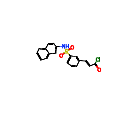 O=C(Cl)C=Cc1cccc(S(=O)(=O)Nc2ccc3ccccc3c2)c1